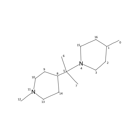 CC1CCN(C(C)(C)C2CCN(C)CC2)CC1